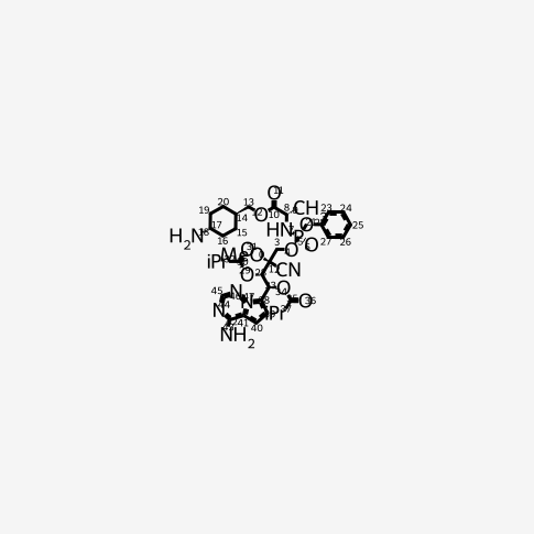 CO[C@](C#N)(COP(=O)(N[C@@H](C)C(=O)OC[C@H]1CC[C@H](N)CC1)Oc1ccccc1)[C@@H](OC(=O)C(C)C)[C@@H](OC(=O)C(C)C)c1ccc2c(N)ncnn12